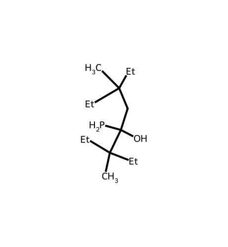 CCC(C)(CC)CC(O)(P)C(C)(CC)CC